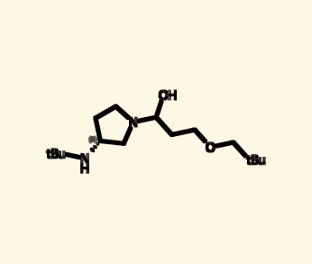 CC(C)(C)COCCC(O)N1CC[C@@H](NC(C)(C)C)C1